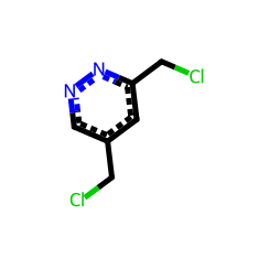 ClCc1cnnc(CCl)c1